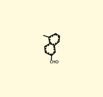 Cc1cccc2cc([C]=O)ccc12